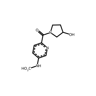 O=C(O)Nc1ccc(C(=O)N2CCC(O)C2)nc1